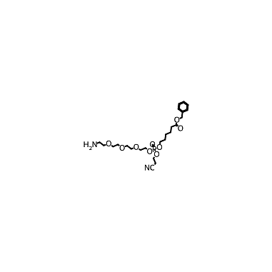 N#CCCOP(=O)(OCCCCCC(=O)OCc1ccccc1)OCCOCCOCCOCCN